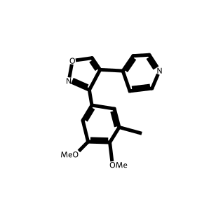 COc1cc(-c2nocc2-c2ccncc2)cc(C)c1OC